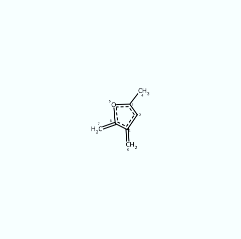 C=c1cc(C)oc1=C